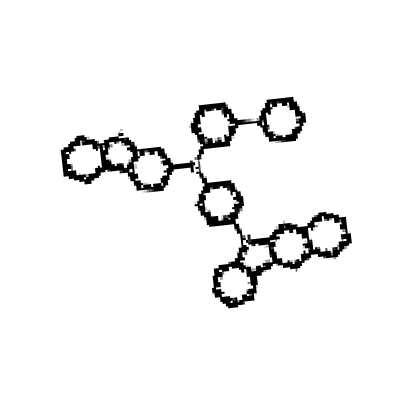 c1ccc(-c2cccc(N(c3ccc(-n4c5ccccc5c5cc6ccccc6cc54)cc3)c3ccc4c(c3)sc3ccccc34)c2)cc1